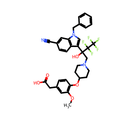 COc1cc(CC(=O)O)ccc1OC1CCN(CC(O)(c2cn(Cc3ccccc3)c3cc(C#N)ccc23)C(F)(F)C(F)(F)F)CC1